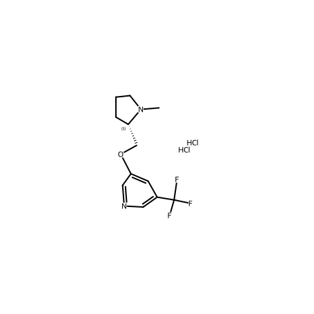 CN1CCC[C@H]1COc1cncc(C(F)(F)F)c1.Cl.Cl